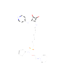 O=c1c(NCCCCCCS(=O)(=O)N(OCCN2CCOCC2)C2CCCC2)c(Nc2ccncc2)c1=O